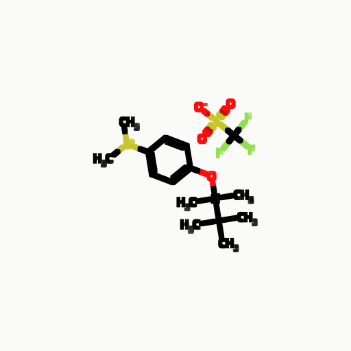 C[S+](C)c1ccc(O[Si](C)(C)C(C)(C)C)cc1.O=S(=O)([O-])C(F)(F)F